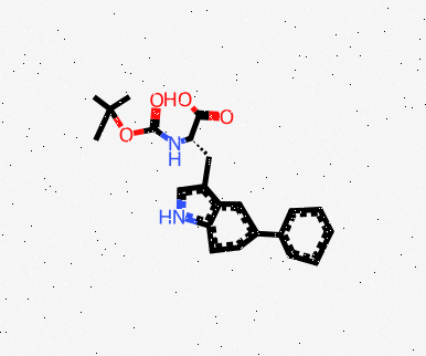 CC(C)(C)OC(=O)N[C@@H](Cc1c[nH]c2ccc(-c3ccccc3)cc12)C(=O)O